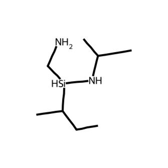 CCC(C)[SiH](CN)NC(C)C